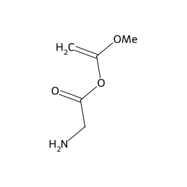 C=C(OC)OC(=O)CN